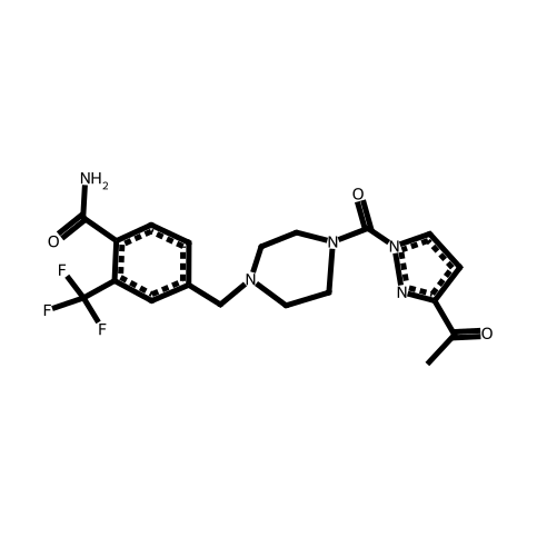 CC(=O)c1ccn(C(=O)N2CCN(Cc3ccc(C(N)=O)c(C(F)(F)F)c3)CC2)n1